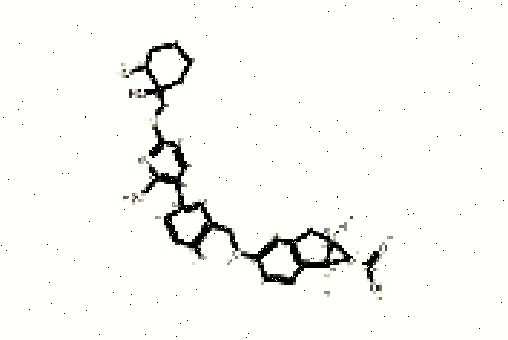 Cc1nc(OCC2(O)CCCCC2O)ccc1-c1ccc(F)c(COc2ccc3c(c2)C[C@H]2[C@H](C(=O)O)[C@@H]32)c1